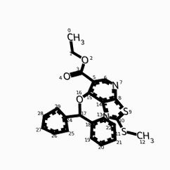 CCOC(=O)c1cnc2sc(SC)nc2c1OC(c1ccccc1)c1ccccc1